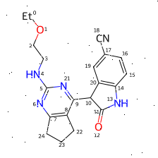 CCOCCNc1nc2c(c(C3C(=O)Nc4ccc(C#N)cc43)n1)CCC2